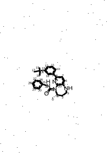 C[C@H]1CCNc2ccc(-c3cccc(C(C)(C)C)c3)nc2N1C(=O)Nc1ccccc1